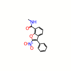 CNC(=O)c1cccc2c(-c3ccccc3)c([N+](=O)[O-])oc12